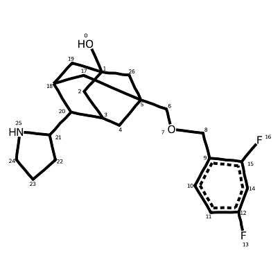 OC12CC3CC(COCc4ccc(F)cc4F)(CC(C1)C3C1CCCN1)C2